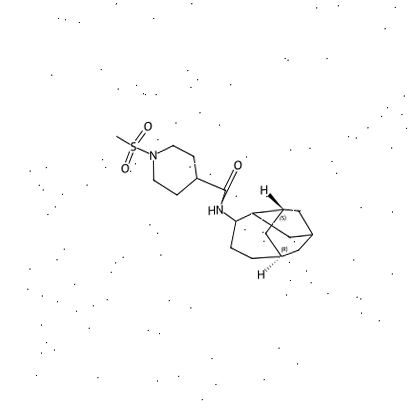 CS(=O)(=O)N1CCC(C(=O)NC2CC[C@@H]3CC4CC2[C@H](C4)C3)CC1